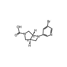 O=C(O)N1C[C@H]2CN(c3cncc(Br)c3)[C@H]2C1